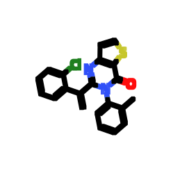 C=C(c1ccccc1Cl)c1nc2ccsc2c(=O)n1-c1ccccc1C